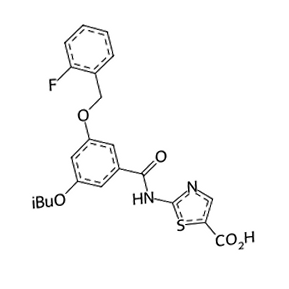 CC(C)COc1cc(OCc2ccccc2F)cc(C(=O)Nc2ncc(C(=O)O)s2)c1